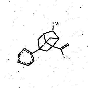 CSC1C2CC3(c4ccccc4)CC1C(C(N)=S)(C2)C3